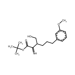 COc1cccc(CCCC(CO)C(=N)C(=O)OC(C)(C)C)c1